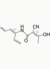 C=C/C=C(\C=C)NC(=O)/C(C#N)=C(\C)O